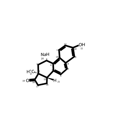 C[C@]12CCc3c(ccc4cc(O)ccc34)[C@@H]1CCC2=O.[NaH]